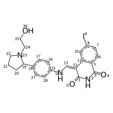 O=C1NC(=O)c2ccc(I)cc2C1=CNc1ccc(C2CCCN2CCO)cc1